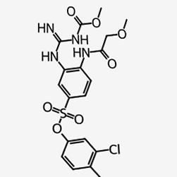 COCC(=O)Nc1ccc(S(=O)(=O)Oc2ccc(C)c(Cl)c2)cc1NC(=N)NC(=O)OC